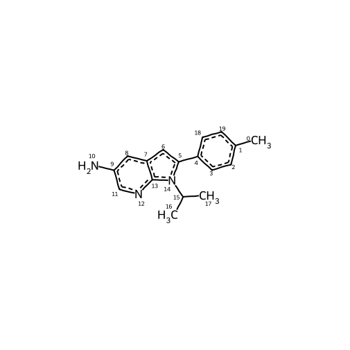 Cc1ccc(-c2cc3cc(N)cnc3n2C(C)C)cc1